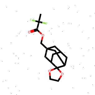 CC(F)(F)C(=O)OCC12CC3CC(C1)C1(OCCO1)C(C3)C2